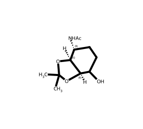 CC(=O)N[C@@H]1CCC(O)[C@H]2OC(C)(C)O[C@H]21